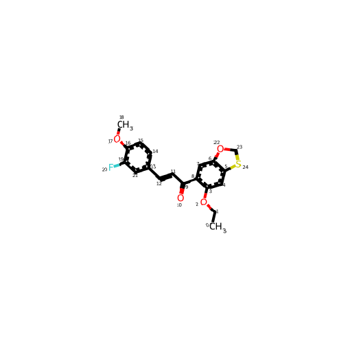 CCOc1cc2c(cc1C(=O)C=Cc1ccc(OC)c(F)c1)OCS2